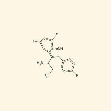 CCC(N)c1c(-c2ccc(F)cc2)[nH]c2c(F)cc(F)cc12